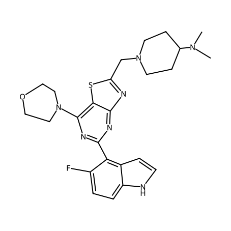 CN(C)C1CCN(Cc2nc3nc(-c4c(F)ccc5[nH]ccc45)nc(N4CCOCC4)c3s2)CC1